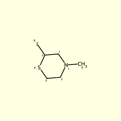 CN1CCSC(I)C1